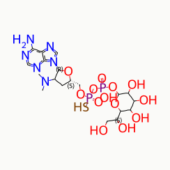 CN(C)C1C[C@@H](COP(=O)(S)OP(=O)(O)OC2OC([C@@H](O)CO)C(O)C(O)C2O)O[C@H]1n1cnc2c(N)ncnc21